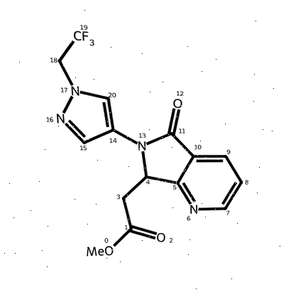 COC(=O)CC1c2ncccc2C(=O)N1c1cnn(CC(F)(F)F)c1